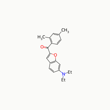 CCN(CC)c1ccc2cc(C(=O)c3ccc(C)cc3C)oc2c1